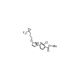 CC(C)(C)OC(=O)c1ccc(N2C=CC(OCCCC3(C(F)(F)F)CC3)N2)nc1Cl